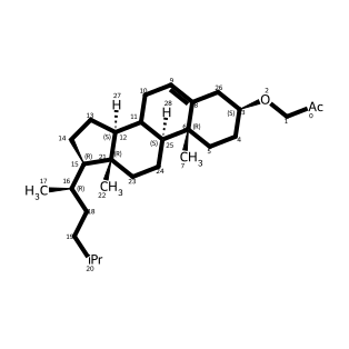 CC(=O)CO[C@H]1CC[C@@]2(C)C(=CCC3[C@@H]4CC[C@H]([C@H](C)CCC(C)C)[C@@]4(C)CC[C@@H]32)C1